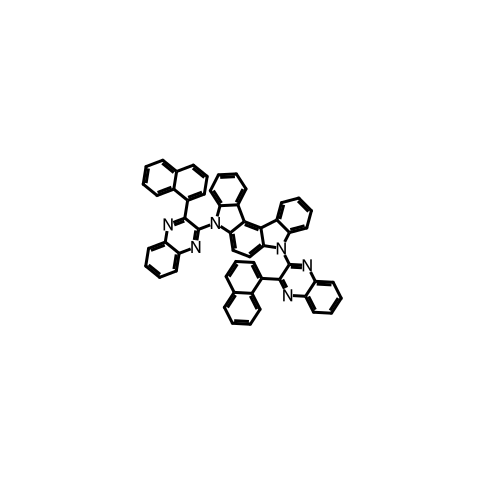 c1ccc2c(-c3nc4ccccc4nc3-n3c4ccccc4c4c5c6ccccc6n(-c6nc7ccccc7nc6-c6cccc7ccccc67)c5ccc43)cccc2c1